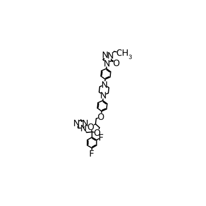 CCn1ncn(-c2ccc(N3CCN(c4ccc(OCC5COC(Cn6cncn6)(c6ccc(F)cc6F)O5)cc4)CC3)cc2)c1=O